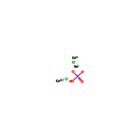 O=P([O-])([O-])O.[Ca+2].[Ca+2].[Cl-].[Cl-].[Cl-].[Na+]